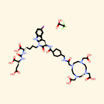 O=C(O)C(F)(F)F.O=C(O)CC[C@H](NC(=O)N[C@@H](CCCCNC(=O)[C@@H](Cc1c[nH]c2ccc(I)cc12)NC(=O)C1CCC(CNC(=O)CN2CCN(CC(=O)O)CCN(CC(=O)O)CCN(CC(=O)O)CC2)CC1)C(=O)O)C(=O)O